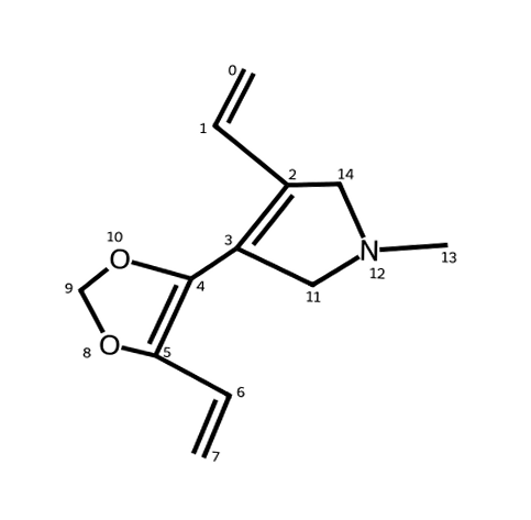 C=CC1=C(C2=C(C=C)OCO2)CN(C)C1